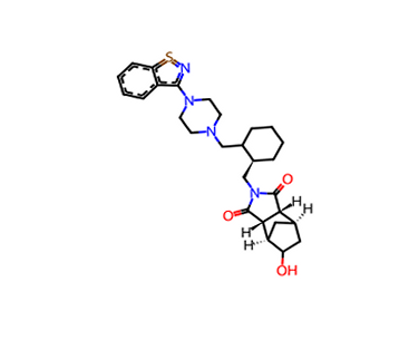 O=C1[C@@H]2[C@H]3CC(O)[C@H](C3)[C@@H]2C(=O)N1C[C@@H]1CCCCC1CN1CCN(c2nsc3ccccc23)CC1